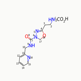 O=C(O)NCCC1=NN(C(=O)NCc2ccccn2)CO1